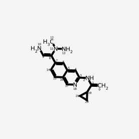 C=C(Nc1cc2cc(/C(=C/N)N(C)N)ccc2cn1)C1CC1